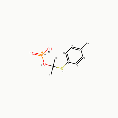 Cc1ccc(SC(C)(C)O[PH](=O)O)cc1